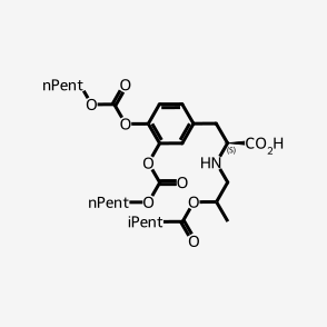 CCCCCOC(=O)Oc1ccc(C[C@H](NCC(C)OC(=O)C(C)CCC)C(=O)O)cc1OC(=O)OCCCCC